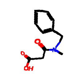 CN(Cc1ccccc1)C(=O)CC(=O)O